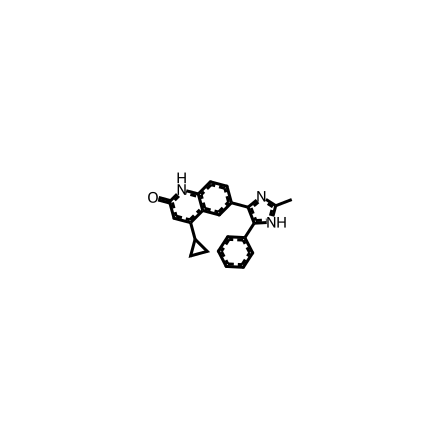 Cc1nc(-c2ccc3[nH]c(=O)cc(C4CC4)c3c2)c(-c2ccccc2)[nH]1